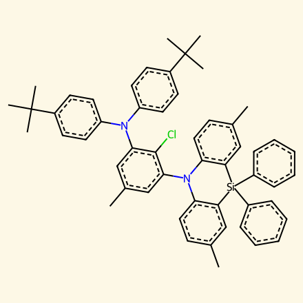 Cc1cc(N(c2ccc(C(C)(C)C)cc2)c2ccc(C(C)(C)C)cc2)c(Cl)c(N2c3ccc(C)cc3[Si](c3ccccc3)(c3ccccc3)c3cc(C)ccc32)c1